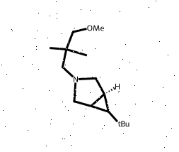 COCC(C)(C)CN1CC2C(C(C)(C)C)[C@@H]2C1